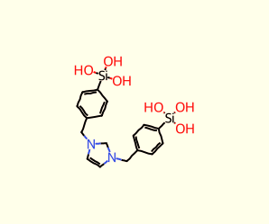 O[Si](O)(O)c1ccc(CN2C=CN(Cc3ccc([Si](O)(O)O)cc3)C2)cc1